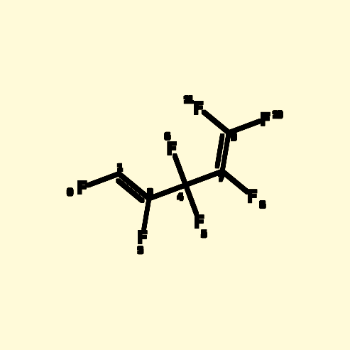 F/C=C(\F)C(F)(F)C(F)=C(F)F